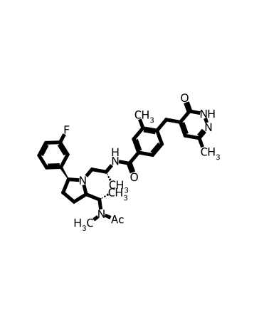 CC(=O)N(C)[C@@H](C)C1CC[C@@H](c2cccc(F)c2)N1C[C@@H](C)NC(=O)c1ccc(Cc2cc(C)n[nH]c2=O)c(C)c1